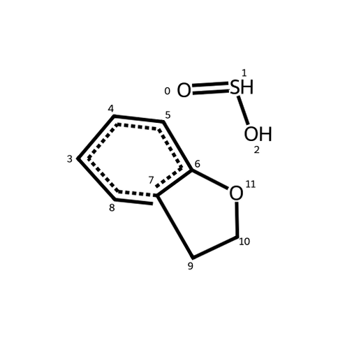 O=[SH]O.c1ccc2c(c1)CCO2